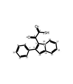 O=C(S)C(=O)c1c(-c2ccccc2)cc2ccccn12